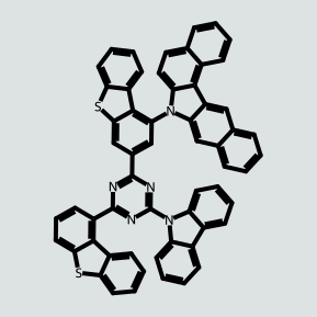 c1ccc2cc3c(cc2c1)c1c2ccccc2ccc1n3-c1cc(-c2nc(-c3cccc4sc5ccccc5c34)nc(-n3c4ccccc4c4ccccc43)n2)cc2sc3ccccc3c12